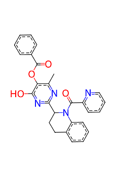 Cc1nc(C2CCc3ccccc3N2C(=O)c2ccccn2)nc(O)c1OC(=O)c1ccccc1